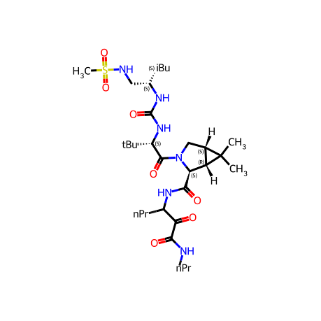 CCCNC(=O)C(=O)C(CCC)NC(=O)[C@@H]1[C@@H]2[C@H](CN1C(=O)[C@@H](NC(=O)N[C@H](CNS(C)(=O)=O)[C@@H](C)CC)C(C)(C)C)C2(C)C